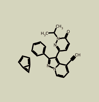 C#Cc1cccn2nc(-c3ccccc3)c(-c3ccc(=O)n(C(C)C)n3)c12.c1cc2cc-2c1